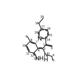 C=C(/C(NCC)=C1\C=C(C)C=CC1=N)c1ccc(CC)cn1